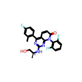 Cc1cc(F)ccc1-c1nc(N[C@@H](C)CO)nc2c1ccc(=O)n2-c1c(F)cccc1F